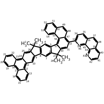 CC1(C)c2cc3c(cc2-c2cc4c5ccccc5c5ccccc5c4cc21)C(C)(C)c1cc(-c2ccc4ccc5cccnc5c4n2)c2ccc4ccccc4c2c1-3